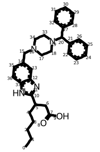 CCCCCC(CC(=O)O)c1nc2cc(CN3CCN(C(c4ccccc4)c4ccccc4)CC3)ccc2[nH]1